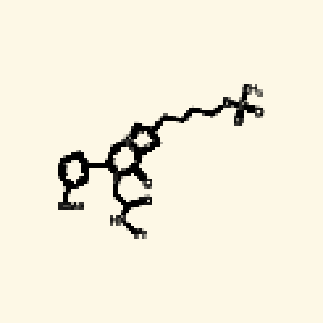 COc1cccc(-c2cn3cc(CCCCOS(C)(=O)=O)cc3c(=O)n2CC(=O)NC(C)C)c1